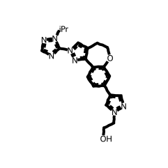 CC(C)n1ncnc1-n1cc2c(n1)-c1ccc(-c3cnn(CCO)c3)cc1OCC2